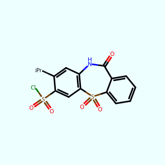 CC(C)c1cc2c(cc1S(=O)(=O)Cl)S(=O)(=O)c1ccccc1C(=O)N2